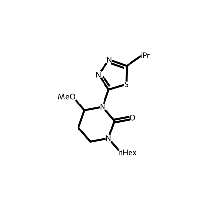 CCCCCCN1CCC(OC)N(c2nnc(C(C)C)s2)C1=O